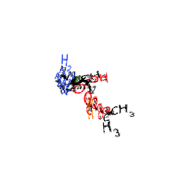 CC(C)OC(=O)OCO[PH](=O)OC[C@H]1O[C@@](C#N)(c2cnc3c(N)ncnn23)[C@](C)(F)[C@@H]1O